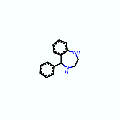 c1ccc(C2NCCNc3ccccc32)cc1